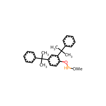 COPOc1ccc(C(C)(C)c2ccccc2)cc1C(C)(C)c1ccccc1